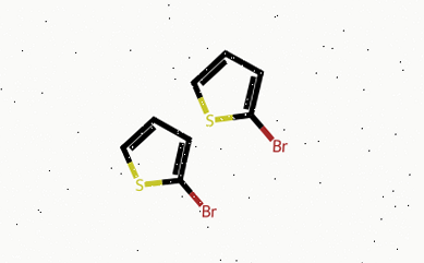 Brc1cccs1.Brc1cccs1